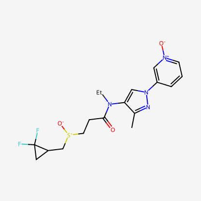 CCN(C(=O)CC[S+]([O-])CC1CC1(F)F)c1cn(-c2ccc[n+]([O-])c2)nc1C